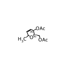 CC(=O)OC[C@H]1OC(C)C=C[C@H]1OC(C)=O